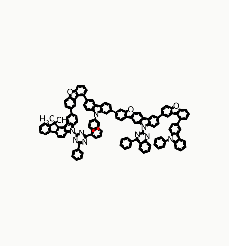 CC1(C)c2ccccc2-c2ccc3c(c21)c1cc(-c2ccc4oc5cccc(-c6ccc7c(c6)c6ccc(-c8ccc9c(c8)oc8cc%10c%11cc(-c%12ccc%13oc%14cccc(-c%15ccc%16c(c%15)c%15ccccc%15n%16-c%15ccccc%15)c%14c%13c%12)ccc%11n(-c%11nc(-c%12ccccc%12)c%12ccccc%12n%11)c%10cc89)cc6n7-c6ccccc6)c5c4c2)ccc1n3-c1nc(-c2ccccc2)nc(-c2ccccc2)n1